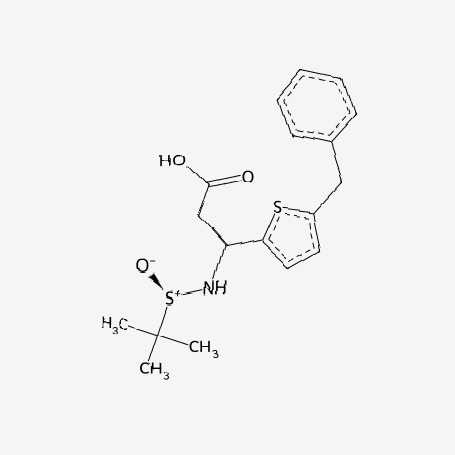 CC(C)(C)[S@@+]([O-])NC(CC(=O)O)c1ccc(Cc2ccccc2)s1